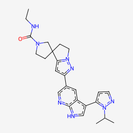 CCNC(=O)N1CCC2(CCn3nc(-c4cnc5[nH]cc(-c6ccnn6C(C)C)c5c4)cc32)C1